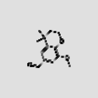 COc1cc(C=O)cc2c1OCCC2(C)C